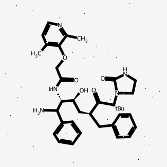 Cc1ccnc(C)c1OCC(=O)N[C@@H](C(N)c1ccccc1)[C@@H](O)C[C@H](Cc1ccccc1)C(=O)[C@@H](N1CCNC1=O)C(C)(C)C